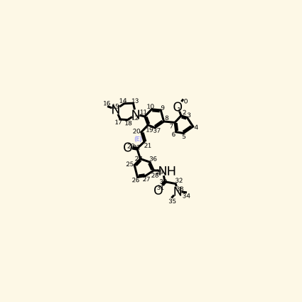 COc1ccccc1-c1ccc(N2CCN(C)CC2)c(/C=C/C(=O)c2cccc(NC(=O)CN(C)C)c2)c1